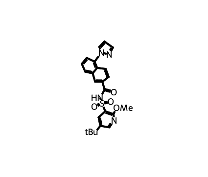 COc1ncc(C(C)(C)C)cc1S(=O)(=O)NC(=O)c1ccc2c(-n3cccn3)cccc2c1